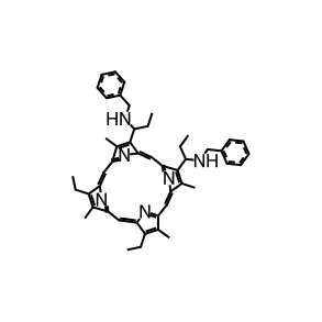 CCC1=C(C)C2=NC1=CC1=NC(=CC3=NC(=CC4=NC(=C2)C(C)=C4C(CC)NCc2ccccc2)C(C(CC)NCc2ccccc2)=C3C)C(CC)=C1C